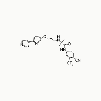 CC(C)(NCCCOc1ccc(-c2ccncc2)nc1)C(=O)N[C@@H]1C=C(C(F)(F)F)[C@H](C#N)CC1